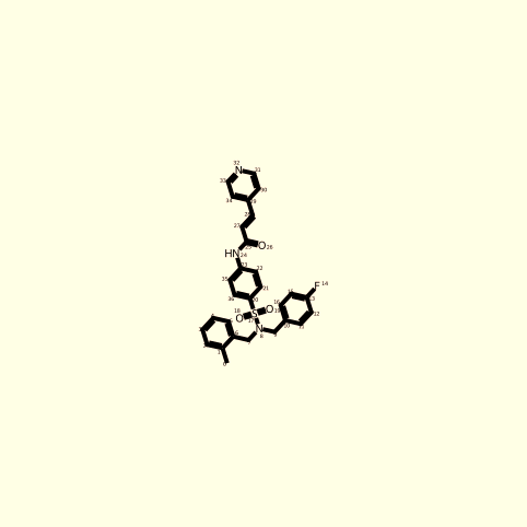 Cc1ccccc1CN(Cc1ccc(F)cc1)S(=O)(=O)c1ccc(NC(=O)/C=C/c2ccncc2)cc1